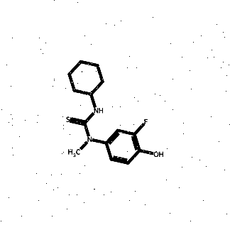 CN(C(=S)NC1CCCCC1)c1ccc(O)c(F)c1